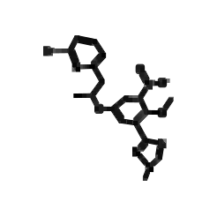 COc1c(-c2ncn(C)n2)cc(OC(C)Cc2cccc(Br)n2)cc1[N+](=O)[O-]